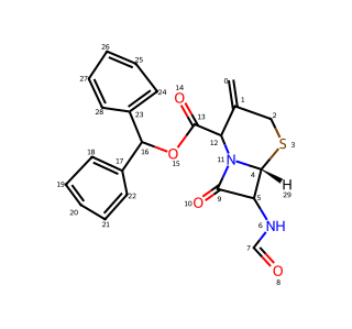 C=C1CS[C@@H]2C(NC=O)C(=O)N2C1C(=O)OC(c1ccccc1)c1ccccc1